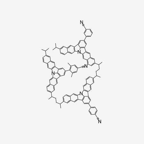 Cc1cc(C#N)cc(C)c1-c1cc2c3cc4cc(C(C)C)ccc4cc3n3c4cc5ccc(C(C)CCC(C)c6ccc7cc8c(cc7c6)c6cc(-c7ccc(C#N)cc7)cc7c9cc%10cc(C(C)CCC(C)c%11ccc%12cc%13c(cc%12c%11)c%11cc(-c%12cccc(C#N)c%12)cc%12c%14cc%15cc(C(C)C)ccc%15cc%14n%13c%12%11)ccc%10cc9n8c76)cc5cc4c(c1)c23